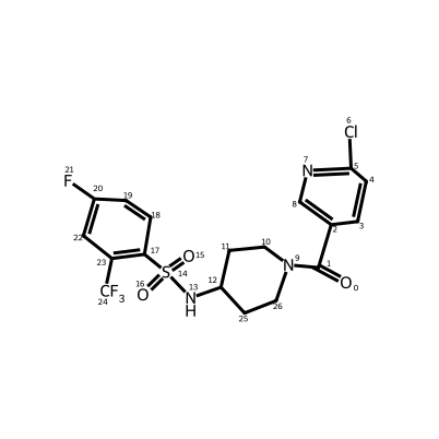 O=C(c1ccc(Cl)nc1)N1CCC(NS(=O)(=O)c2ccc(F)cc2C(F)(F)F)CC1